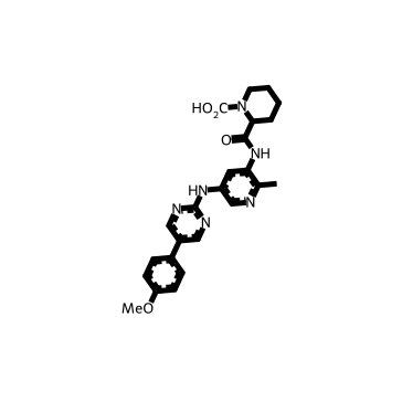 COc1ccc(-c2cnc(Nc3cnc(C)c(NC(=O)C4CCCCN4C(=O)O)c3)nc2)cc1